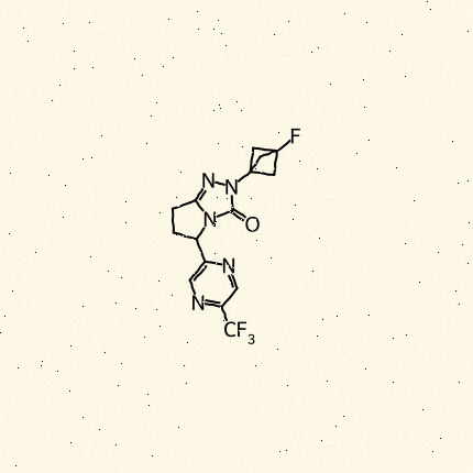 O=c1n(C23CC(F)(C2)C3)nc2n1C(c1cnc(C(F)(F)F)cn1)CC2